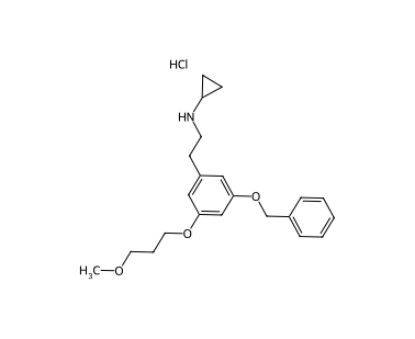 COCCCOc1cc(CCNC2CC2)cc(OCc2ccccc2)c1.Cl